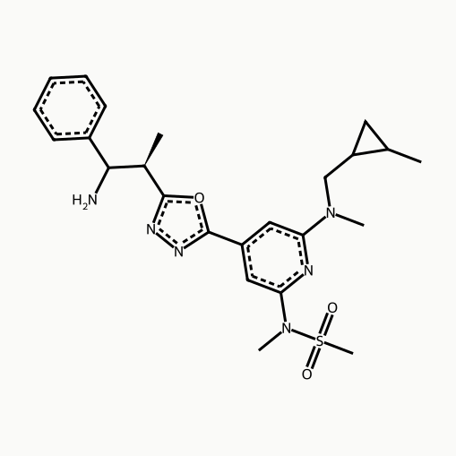 CC1CC1CN(C)c1cc(-c2nnc([C@H](C)C(N)c3ccccc3)o2)cc(N(C)S(C)(=O)=O)n1